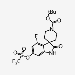 CC(C)(C)OC(=O)N1CCC2(CC1)C(=O)Nc1cc(OS(=O)(=O)C(F)(F)F)cc(F)c12